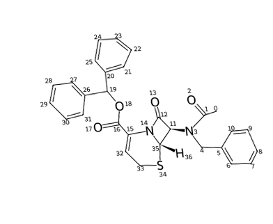 CC(=O)N(Cc1ccccc1)[C@@H]1C(=O)N2C(C(=O)OC(c3ccccc3)c3ccccc3)=CCS[C@@H]12